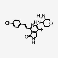 NC1COCCC1Nc1nc(C=Cc2ccc(Cl)cc2)c2c(c1F)CNC2=O